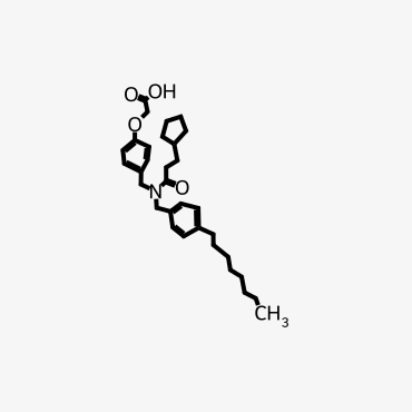 CCCCCCCCc1ccc(CN(Cc2ccc(OCC(=O)O)cc2)C(=O)CCC2CCCC2)cc1